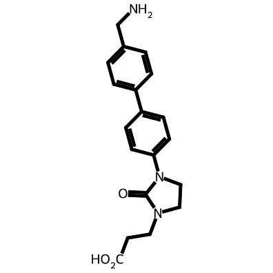 NCc1ccc(-c2ccc(N3CCN(CCC(=O)O)C3=O)cc2)cc1